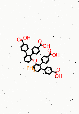 O=C(O)c1ccc(-c2cccc(Oc3cccc(-c4ccc(C(=O)O)cc4)c3-c3ccc(C(=O)O)cc3)c2-c2ccc(C(=O)O)cc2)cc1.P